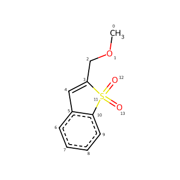 COCC1=Cc2ccccc2S1(=O)=O